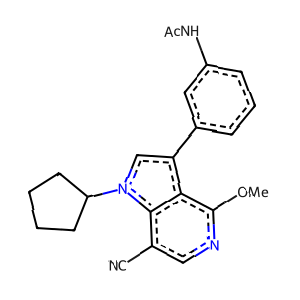 COc1ncc(C#N)c2c1c(-c1cccc(NC(C)=O)c1)cn2C1CCCC1